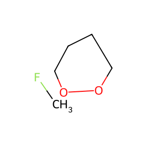 C1CCOOC1.CF